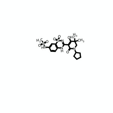 CC1(C)CN(C2CCCC2)C(=O)C(C2=NS(=O)(=O)c3cc(NS(C)(=O)=O)ccc3N2)=C1O